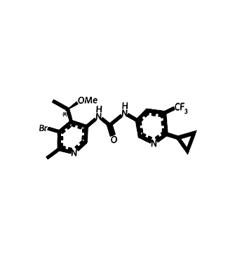 CO[C@H](C)c1c(NC(=O)Nc2cnc(C3CC3)c(C(F)(F)F)c2)cnc(C)c1Br